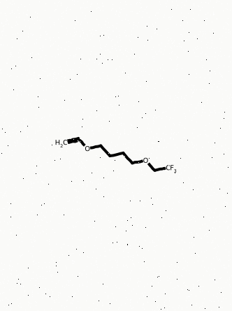 C=COCCCCOCC(F)(F)F